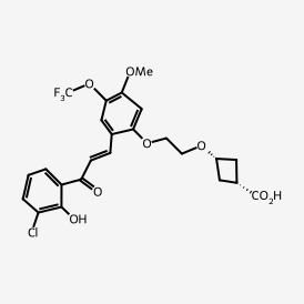 COc1cc(OCCO[C@H]2C[C@@H](C(=O)O)C2)c(/C=C/C(=O)c2cccc(Cl)c2O)cc1OC(F)(F)F